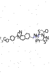 CC(C)c1scnc1N1C(=O)CS/C1=N\N=C\c1ccc2c(ccn3c(-c4ccc(OC(F)(F)F)cc4)cnc23)c1